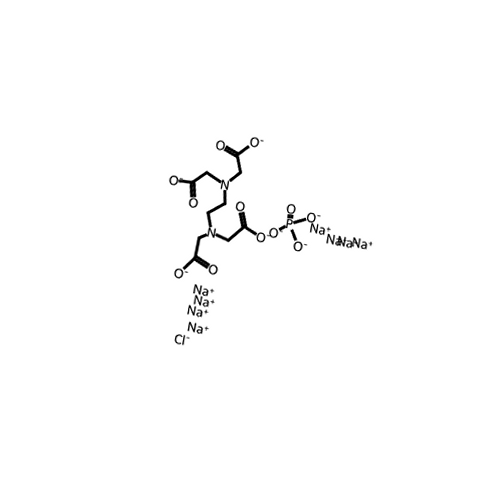 O=C([O-])CN(CCN(CC(=O)[O-])CC(=O)[O-])CC(=O)[O-].O=P([O-])([O-])[O-].[Cl-].[Na+].[Na+].[Na+].[Na+].[Na+].[Na+].[Na+].[Na+]